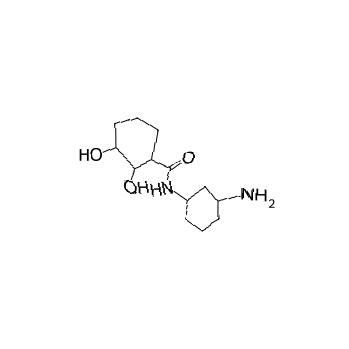 NC1CCCC(NC(=O)C2CCCC(O)C2O)C1